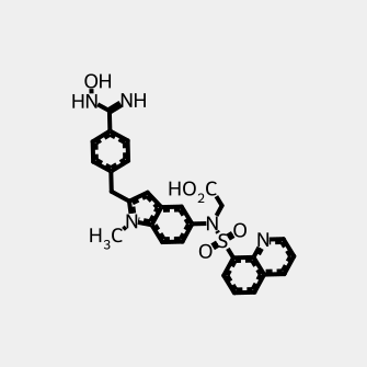 Cn1c(Cc2ccc(C(=N)NO)cc2)cc2cc(N(CC(=O)O)S(=O)(=O)c3cccc4cccnc34)ccc21